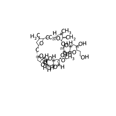 C=C1CC2CC[C@@]34CC5O[C@H]6[C@@H](O3)[C@H]3O[C@H](CC[C@@H]3O[C@H]6[C@H]5O4)CC(=O)O[C@@H]3[C@@H](C)[C@@H]4OC(CCO)[C@H](O)C[C@@H]4O[C@H]3CC3O[C@@H](CCC1O2)C[C@@H](C)C3=C